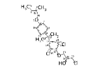 CC[C@H](C)COc1ccc(C(C)(C)c2cc(Cl)c(OC[C@H](O)CCl)c(Cl)c2)cc1